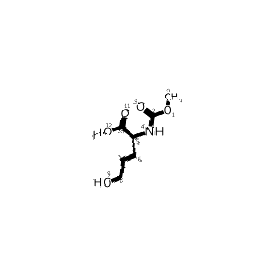 COC(=O)N[C@@H](CCCO)C(=O)O